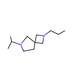 CCCN1CC2(CCN(C(C)C)C2)C1